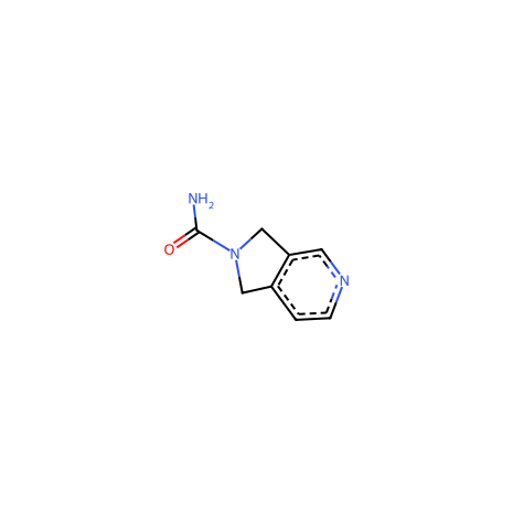 NC(=O)N1Cc2ccncc2C1